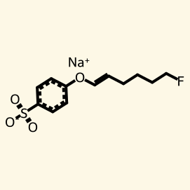 O=S(=O)([O-])c1ccc(OC=CCCCCF)cc1.[Na+]